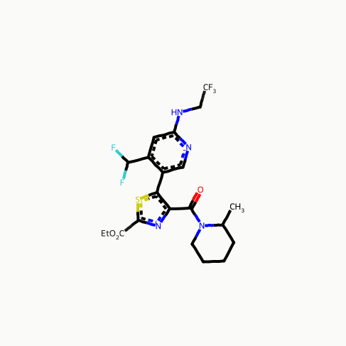 CCOC(=O)c1nc(C(=O)N2CCCCC2C)c(-c2cnc(NCC(F)(F)F)cc2C(F)F)s1